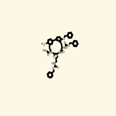 Cc1ccc2cc1C[C@@H](C(=O)O)NC(=O)[C@H](CCCNC(=O)OCc1ccccc1)NC(=O)[C@@H](NC(=O)OCc1ccccc1)Cc1cc-2ccc1OCc1ccccc1